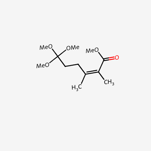 COC(=O)C(C)=C(C)CCC(OC)(OC)OC